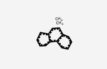 C.C.c1ccc2c(c1)ccc1ccccc12